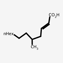 CCCCCCCCC(C)C/C=C/C(=O)O